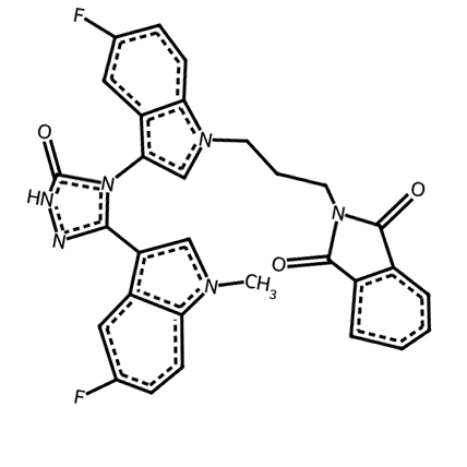 Cn1cc(-c2n[nH]c(=O)n2-c2cn(CCCN3C(=O)c4ccccc4C3=O)c3ccc(F)cc23)c2cc(F)ccc21